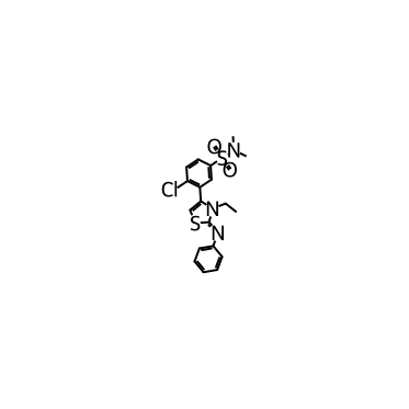 CCn1c(-c2cc(S(=O)(=O)N(C)C)ccc2Cl)csc1=Nc1ccccc1